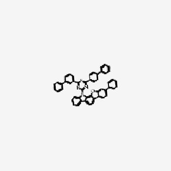 c1ccc(-c2ccc(-c3nc(-c4cccc(-c5ccccc5)c4)nc(-n4c5ccccc5c5ccc6c7ccc(-c8ccccc8)cc7oc6c54)n3)cc2)cc1